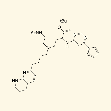 C=C(OC(C)(C)C)C(CCN(CCCCc1ccc2c(n1)NCCC2)CCNC(C)=O)Nc1cc(-n2cccn2)ncn1